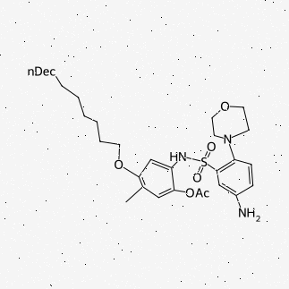 CCCCCCCCCCCCCCCCOc1cc(NS(=O)(=O)c2cc(N)ccc2N2CCOCC2)c(OC(C)=O)cc1C